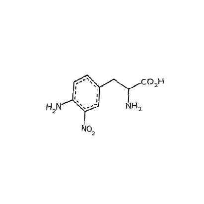 Nc1ccc(CC(N)C(=O)O)cc1[N+](=O)[O-]